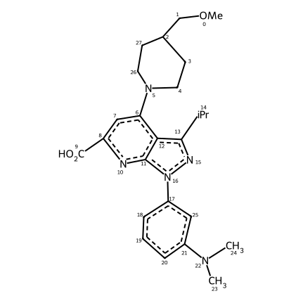 COCC1CCN(c2cc(C(=O)O)nc3c2c(C(C)C)nn3-c2cccc(N(C)C)c2)CC1